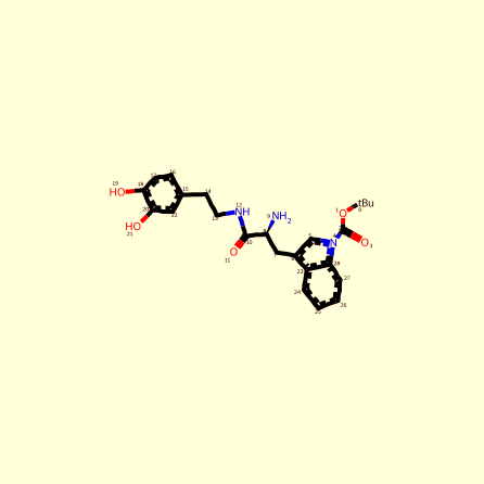 CC(C)(C)OC(=O)n1cc(C[C@H](N)C(=O)NCCc2ccc(O)c(O)c2)c2ccccc21